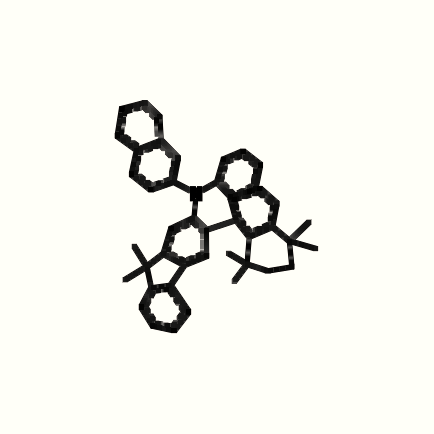 CC1(C)CCC(C)(C)c2c(-c3cc4c(cc3N(c3ccccc3)c3ccc5ccccc5c3)C(C)(C)c3ccccc3-4)cccc21